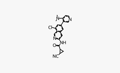 CN(C)c1ccncc1-c1cc(Cl)c2cnc(NC(=O)C3CC3C#N)cc2c1